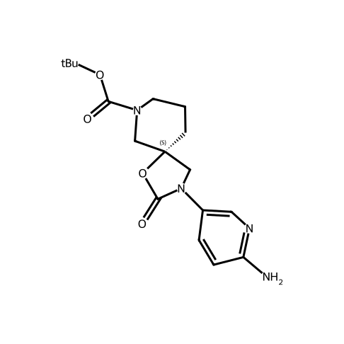 CC(C)(C)OC(=O)N1CCC[C@]2(C1)CN(c1ccc(N)nc1)C(=O)O2